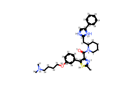 Cc1nc(C(=O)N2CCCCC2Cc2ncc(-c3ccccc3)[nH]2)c(-c2cccc(OCCCCN(C)C)c2)s1